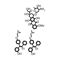 CC/C(=C(/c1ccc(OCCN(C)C)cc1)c1cccc(O)c1)c1ccccc1.CC/C(=C(/c1ccc(OCCN(C)C)cc1)c1cccc(O)c1)c1ccccc1.COc1cccc2c1C(=O)c1c(O)c3c(c(O)c1C2=O)C[C@@](O)(C(=O)CO)C[C@@H]3O[C@H]1C[C@H](N)[C@H](O)[C@H](C)O1